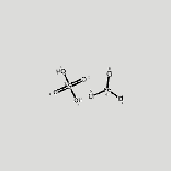 O=S(=O)(O)O.[Cl][Fe]([Cl])[Cl]